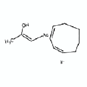 C1=C\CCCC\C=C/1.CC(=O)/C=C(/C)O.[Ir]